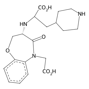 O=C(O)CN1C(=O)[C@@H](NC(CC2CCNCC2)C(=O)O)COc2ccccc21